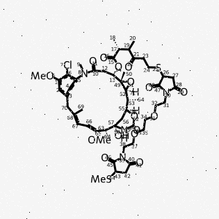 COc1cc2cc(c1Cl)N(C)C(=O)C[C@H](OC(=O)[C@H](C)C(C)C(=O)CCSC1CC(=O)N(CCOCCOCCN3C(=O)CC(SC)C3=O)C1=O)[C@]1(C)O[C@H]1[C@H](C)[C@@H]1C[C@@](O)(NC(=O)O1)[C@H](OC)/C=C/C=C(\C)C2